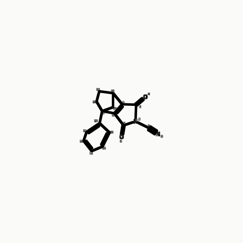 N#CN1C(=O)C2=C(C1=O)C1(c3ccccc3)CCC2C1